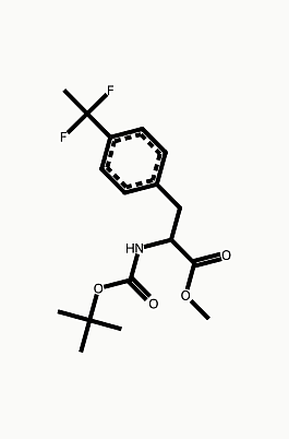 COC(=O)C(Cc1ccc(C(C)(F)F)cc1)NC(=O)OC(C)(C)C